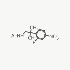 CC(=O)NCC(C)(C)c1ccc([N+](=O)[O-])cc1F